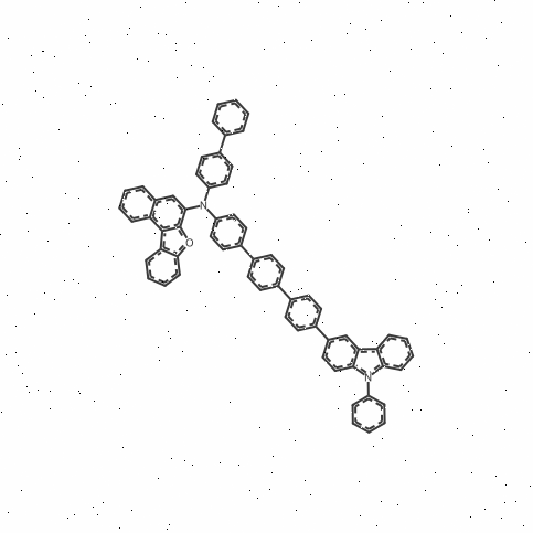 c1ccc(-c2ccc(N(c3ccc(-c4ccc(-c5ccc(-c6ccc7c(c6)c6ccccc6n7-c6ccccc6)cc5)cc4)cc3)c3cc4ccccc4c4c3oc3ccccc34)cc2)cc1